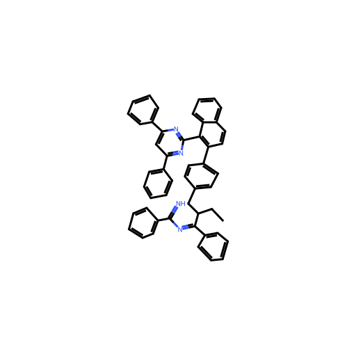 CCC(Cc1ccc(-c2ccc3ccccc3c2-c2nc(-c3ccccc3)cc(-c3ccccc3)n2)cc1)/C(=N\C(=N)c1ccccc1)c1ccccc1